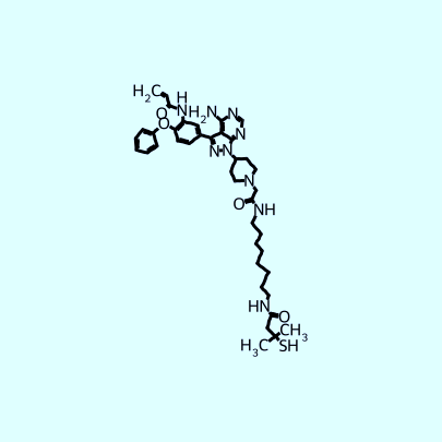 C=CC(=O)Nc1cc(-c2nn(C3CCN(CC(=O)NCCCCCCCCNC(=O)CC(C)(C)S)CC3)c3ncnc(N)c23)ccc1Oc1ccccc1